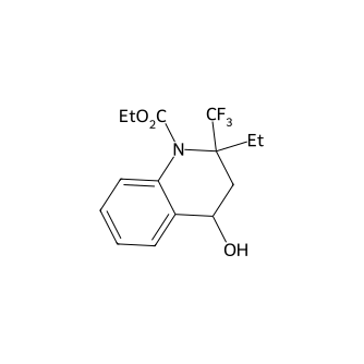 CCOC(=O)N1c2ccccc2C(O)CC1(CC)C(F)(F)F